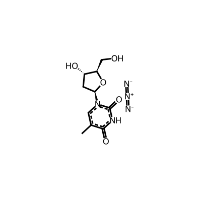 Cc1cn([C@H]2C[C@H](O)[C@@H](CO)O2)c(=O)[nH]c1=O.[N-]=[N+]=[N-]